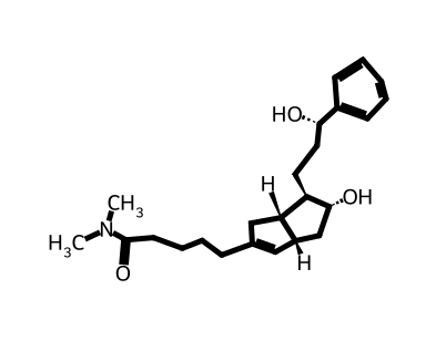 CN(C)C(=O)CCCCC1=C[C@H]2C[C@@H](O)[C@H](CC[C@H](O)c3ccccc3)[C@H]2C1